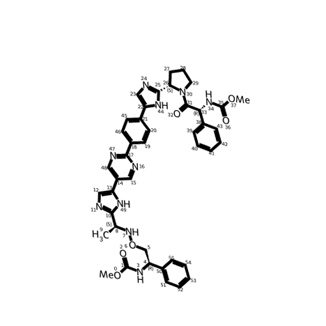 COC(=O)N[C@@H](CON[C@@H](C)c1ncc(-c2cnc(-c3ccc(-c4cnc([C@@H]5CCCN5C(=O)[C@H](NC(=O)OC)c5ccccc5)[nH]4)cc3)nc2)[nH]1)c1ccccc1